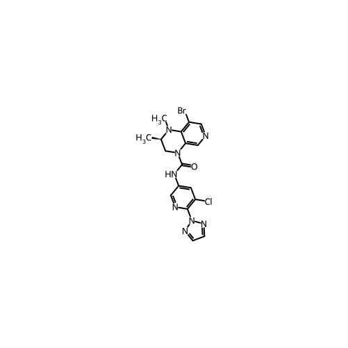 C[C@@H]1CN(C(=O)Nc2cnc(-n3nccn3)c(Cl)c2)c2cncc(Br)c2N1C